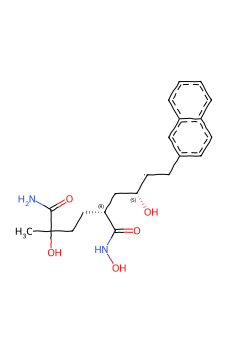 CC(O)(CC[C@H](C[C@@H](O)[CH]Cc1ccc2ccccc2c1)C(=O)NO)C(N)=O